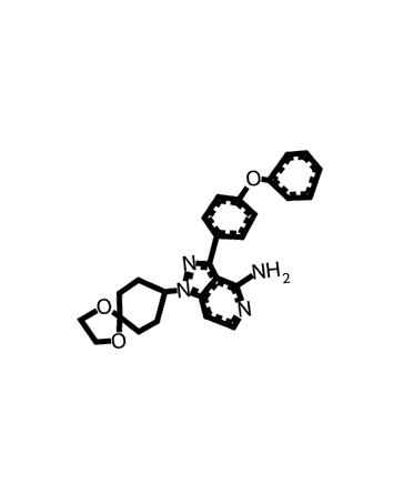 Nc1nccc2c1c(-c1ccc(Oc3ccccc3)cc1)nn2C1CCC2(CC1)OCCO2